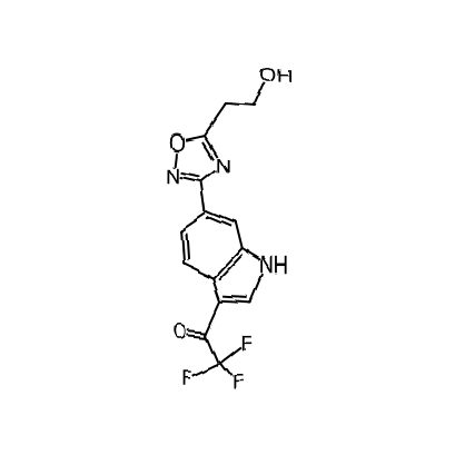 O=C(c1c[nH]c2cc(-c3noc(CCO)n3)ccc12)C(F)(F)F